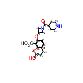 O=C(O)c1c(OC2CN(C(=O)C3CCNCC3)C2)ccc2c1OB(O)CC2